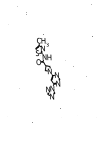 Cc1csc(NC(=O)C2CN(c3cc(-n4cncn4)ncn3)C2)n1